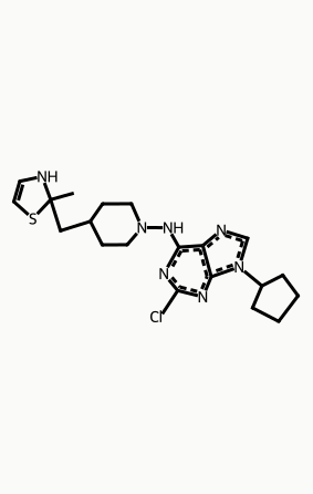 CC1(CC2CCN(Nc3nc(Cl)nc4c3ncn4C3CCCC3)CC2)NC=CS1